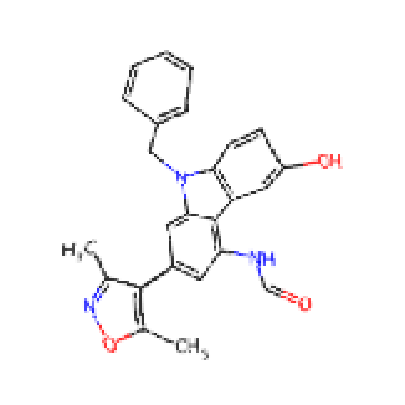 Cc1noc(C)c1-c1cc(NC=O)c2c3cc(O)ccc3n(Cc3ccccc3)c2c1